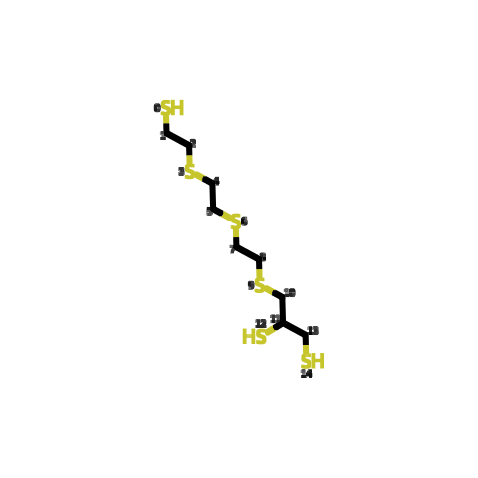 SCCSCCSCCSCC(S)CS